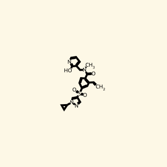 C=Cc1cc(S(=O)(=O)c2cnn(C3CC3)c2)ccc1C(=O)N(C)Cc1cccnc1O